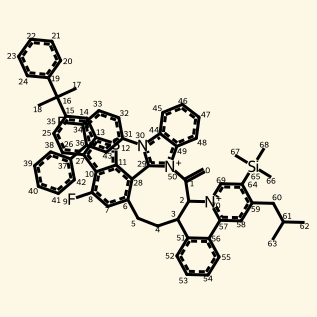 C=C1C2C(CCc3cc(F)c4c(sc5cc(C(C)(C)c6ccccc6)ccc54)c3-c3n(-c4ccc(F)c(-c5ccccc5)c4)c4ccccc4[n+]31)c1ccccc1-c1cc(CC(C)C)c([Si](C)(C)C)c[n+]12